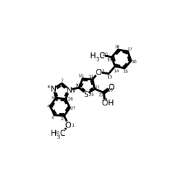 COc1ccc2ncn(-c3cc(OCc4ccccc4C)c(C(=O)O)s3)c2c1